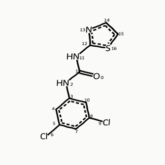 O=C(Nc1cc(Cl)cc(Cl)c1)Nc1nccs1